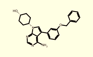 Nc1ncnc2c1c(-c1cccc(OCc3ccccc3)c1)cn2[C@H]1CC[C@@H](O)CC1